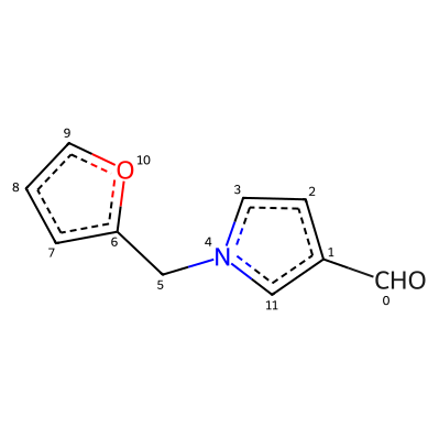 O=Cc1ccn(Cc2ccco2)c1